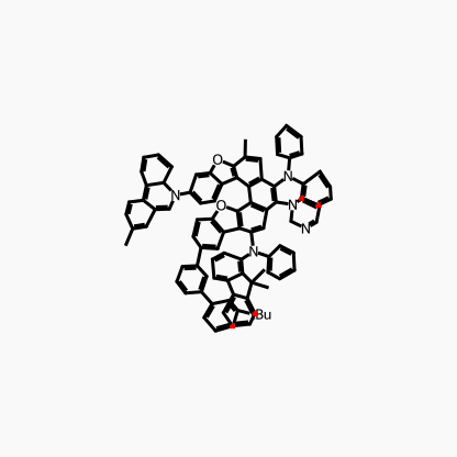 Cc1ccc2c(c1)=CN(c1ccc3c(c1)oc1c(C)cc4c(N(c5ccccc5)c5ccccc5)c(N5C=CC=NC5)c5cc(N(c6ccccc6)c6cccc7c6C(C)(C)c6ccccc6-7)c6c7cc(-c8cccc(-c9cccc(C(C)(C)C)c9)c8)ccc7oc6c5c4c13)C1C=CC=CC=21